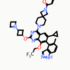 C=CC(=O)N1CC2(CCN(c3nc(O[C@H]4C[C@H](N5CCC5)C4)nc4c(OCC(F)(F)F)c(-c5c(C)ccc6[nH]ncc56)c(C5CC5)cc34)CC2)C1